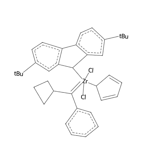 CC(C)(C)c1ccc2c(c1)[CH]([Zr]([Cl])([Cl])(=[C](c1ccccc1)C1CCC1)[CH]1C=CC=C1)c1cc(C(C)(C)C)ccc1-2